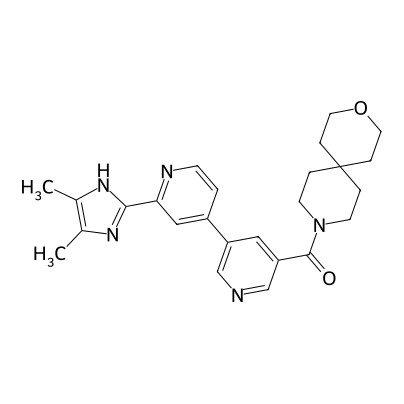 Cc1nc(-c2cc(-c3cncc(C(=O)N4CCC5(CCOCC5)CC4)c3)ccn2)[nH]c1C